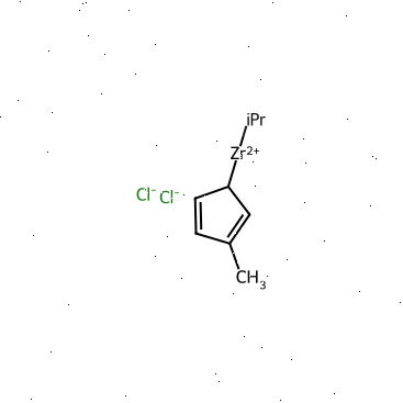 CC1=C[CH]([Zr+2][CH](C)C)C=C1.[Cl-].[Cl-]